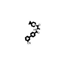 CC(NC(=O)c1ccc(-c2cccc(C#N)c2)cc1)C(=O)N1CCC2(CC1)CC2